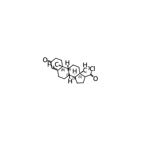 C[C@]12CCC(=O)C=C1CC[C@@H]1[C@H]2CC[C@]2(C)C(C(=O)Cl)CC[C@@H]12